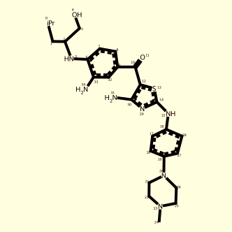 CC(C)CC(CO)Nc1ccc(C(=O)c2sc(Nc3ccc(N4CCN(C)CC4)cc3)nc2N)cc1N